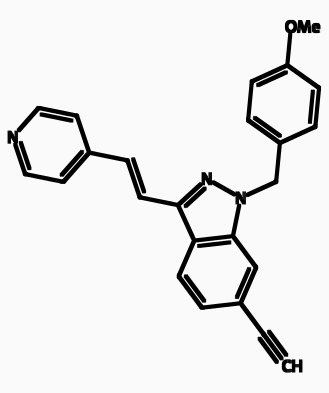 C#Cc1ccc2c(C=Cc3ccncc3)nn(Cc3ccc(OC)cc3)c2c1